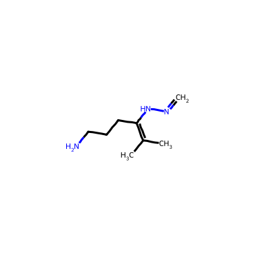 C=NNC(CCCN)=C(C)C